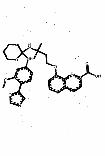 COc1cc(NC2(NC(C)(C)CCOc3cccc4ccc(C(=O)O)nc34)CCCCO2)ccc1-c1cnco1